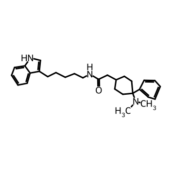 CN(C)C1(c2ccccc2)CCC(CC(=O)NCCCCCc2c[nH]c3ccccc23)CC1